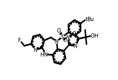 CC(C)(C)c1ccc(S(=O)(=O)N2Cc3ccc(CF)nc3Nc3cccc(-c4noc(C(C)(C)O)n4)c32)cc1